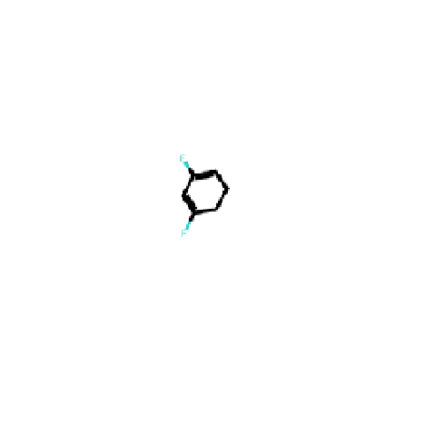 FC1=CCCC(F)=C1